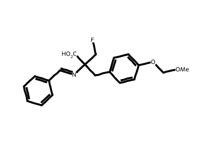 COCOc1ccc(CC(CF)(N=Cc2ccccc2)C(=O)O)cc1